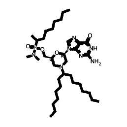 CCCCCCCC(CCCCCCC)N1C[C@@H](COP(=O)(C(C)CCCCCCC)N(C)C)O[C@@H](n2cnc3c(=O)[nH]c(N)nc32)C1